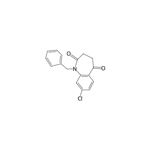 O=C1CCC(=O)N(Cc2ccccc2)c2cc(Cl)ccc21